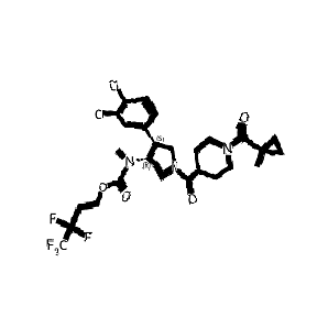 CN(C(=O)OCCC(F)(F)C(F)(F)F)[C@H]1CN(C(=O)C2CCN(C(=O)C3(C)CC3)CC2)C[C@@H]1c1ccc(Cl)c(Cl)c1